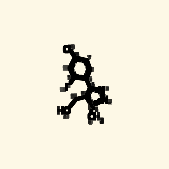 Cn1nnc(-c2ccc(Cl)cc2F)c1CO